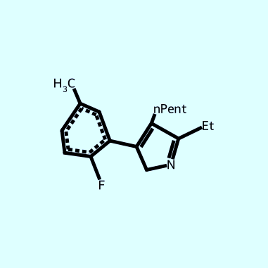 CCCCCC1=C(c2cc(C)ccc2F)CN=C1CC